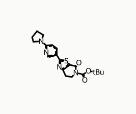 CC(C)(C)OC(=O)N1CCc2nc(-c3ccc(N4CCCC4)nc3)sc2C1=O